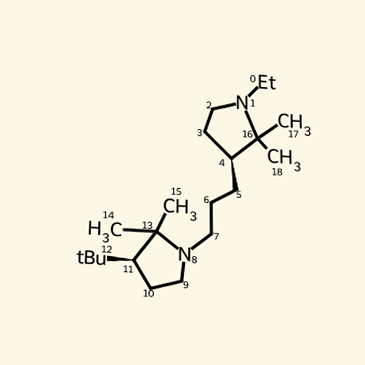 CCN1CC[C@H](CCCN2CC[C@@H](C(C)(C)C)C2(C)C)C1(C)C